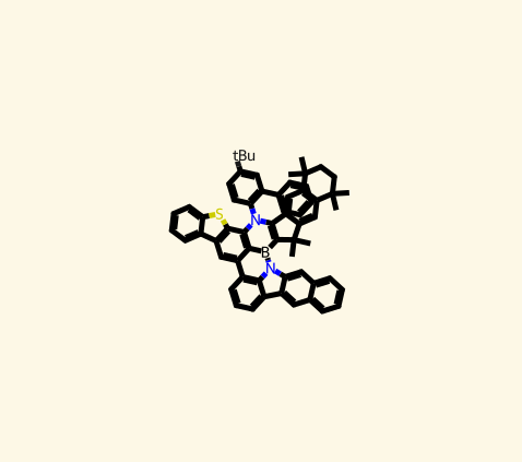 CC(C)(C)c1ccc(N2C3=C(B4c5c(cc6c(sc7ccccc76)c52)-c2cccc5c6cc7ccccc7cc6n4c25)C(C)(C)c2cc4c(cc23)C(C)(C)CCC4(C)C)c(-c2ccccc2)c1